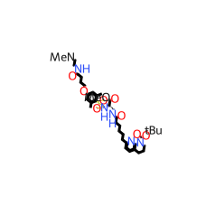 CNCCNC(=O)CCCOc1cc(C)c(S(=O)(=O)N[C@@H](CNC(=O)CCCCCc2ccc3c(n2)N(C(=O)OC(C)(C)C)CCC3)C(=O)OC)c(C)c1